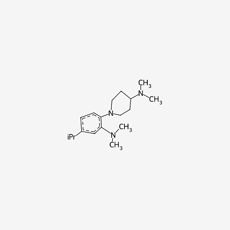 CC(C)c1ccc(N2CCC(N(C)C)CC2)c(N(C)C)c1